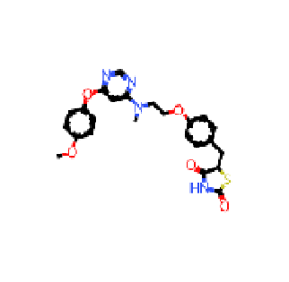 COc1ccc(Oc2cc(N(C)CCOc3ccc(CC4SC(=O)NC4=O)cc3)ncn2)cc1